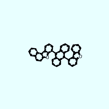 c1ccc2c(c1)ccc1oc3c(-c4c5ccccc5c(-c5cccc6oc7ccccc7c56)c5ccccc45)cccc3c12